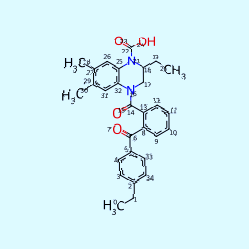 CCc1ccc(C(=O)c2ccccc2C(=O)N2CC(CC)N(C(=O)O)c3cc(C)c(C)cc32)cc1